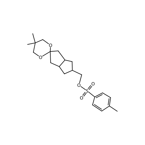 Cc1ccc(S(=O)(=O)OCC2CC3CC4(CC3C2)OCC(C)(C)CO4)cc1